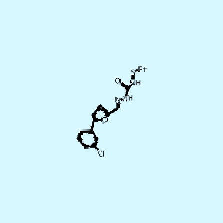 CCSNC(=O)N/N=C/c1ccc(-c2cccc(Cl)c2)o1